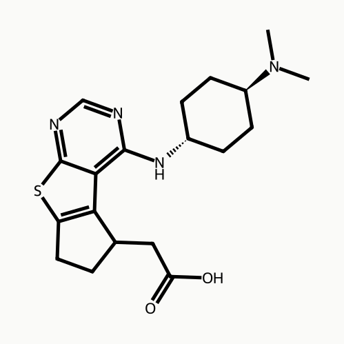 CN(C)[C@H]1CC[C@H](Nc2ncnc3sc4c(c23)C(CC(=O)O)CC4)CC1